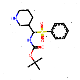 CC(C)(C)OC(=O)NC(C1CCCNC1)S(=O)(=O)c1ccccc1